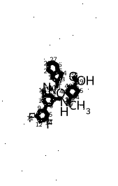 C[C@H](NC(=O)c1cc(-c2cc(F)cc(F)c2)cc2cnn(Cc3ccc4ccccc4c3)c12)c1ccc(C(=O)O)cc1